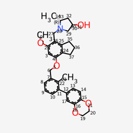 COc1cc(OCc2cccc(-c3ccc4c(c3)OCCO4)c2C)c2c(c1CN1C[C@H](O)C[C@H]1C)CCC2